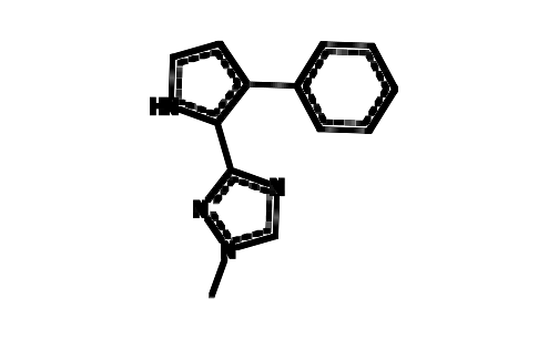 Cn1cnc(-c2[nH]ccc2-c2ccccc2)n1